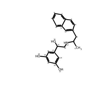 CC(Cc1ccc2ccccc2c1)NCC(O)c1cc(O)cc(O)c1